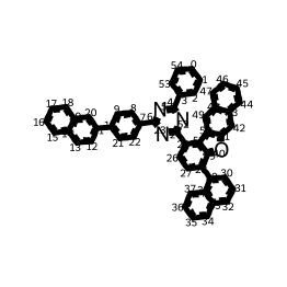 c1ccc(-c2nc(-c3ccc(-c4ccc5ccccc5c4)cc3)nc(-c3ccc(-c4cccc5ccccc45)c4oc5cc6ccccc6cc5c34)n2)cc1